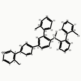 Cc1ccncc1-c1ccc(-c2ccc(N(C)c3ccccc3-c3ccccc3C)c(-c3ccccc3C)c2)cc1